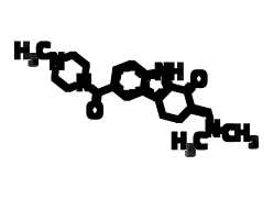 CN(C)C=C1CCc2c([nH]c3ccc(C(=O)N4CCN(C)CC4)cc23)C1=O